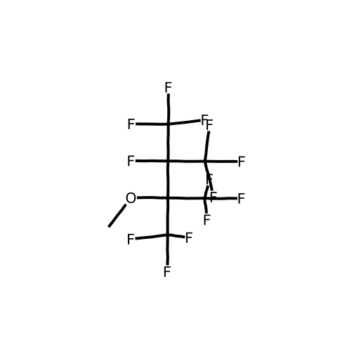 COC(C(F)(F)F)(C(F)(F)F)C(F)(C(F)(F)F)C(F)(F)F